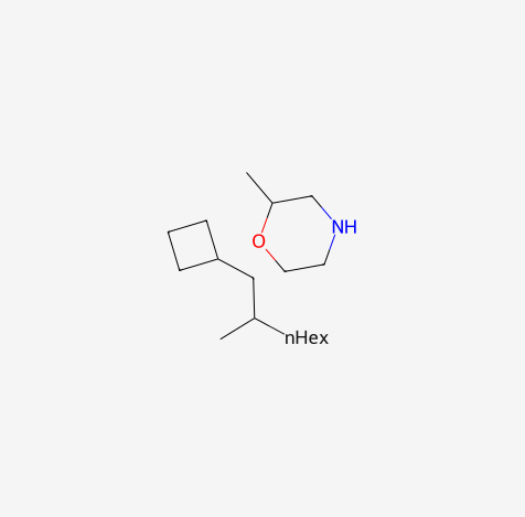 CC1CNCCO1.CCCCCCC(C)CC1CCC1